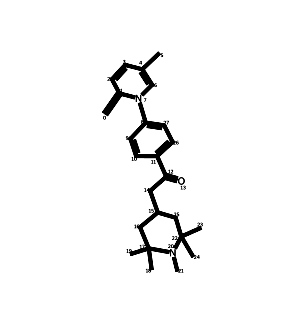 C=C1C=CC(C)=CN1c1ccc(C(=O)CC2CC(C)(C)N(C)C(C)(C)C2)cc1